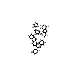 c1ccc(-c2nc(-c3cccc4c3oc3c4ccc4c(-c5ccccc5)nc5ccccc5c43)cc(-c3cccc4oc5ccccc5c34)n2)cc1